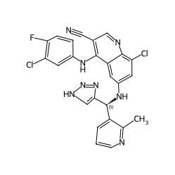 Cc1ncccc1[C@H](Nc1cc(Cl)c2ncc(C#N)c(Nc3ccc(F)c(Cl)c3)c2c1)c1c[nH]nn1